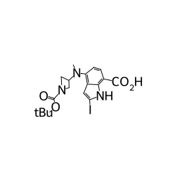 CN(c1ccc(C(=O)O)c2[nH]c(I)cc12)C1CN(C(=O)OC(C)(C)C)C1